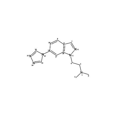 CN(C)CCn1ncc2ccc(-n3cnnc3)cc21